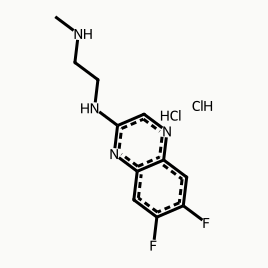 CNCCNc1cnc2cc(F)c(F)cc2n1.Cl.Cl